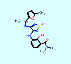 Cc1ccc([C@@H](C)Nc2n[s+]([O-])nc2Nc2cccc(C(=O)N(C)C)c2O)o1